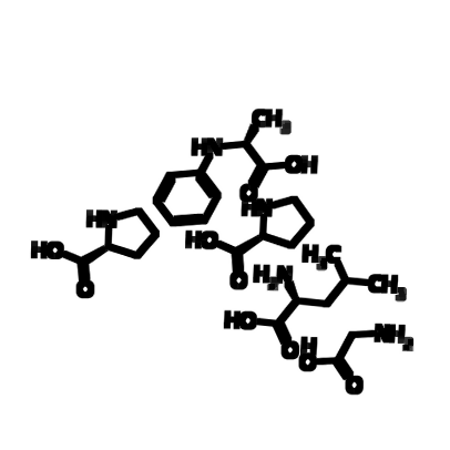 CC(C)C[C@H](N)C(=O)O.C[C@H](Nc1ccccc1)C(=O)O.NCC(=O)O.O=C(O)[C@@H]1CCCN1.O=C(O)[C@@H]1CCCN1